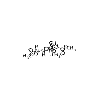 COc1cc(OC)cc(-c2ccc(OC)c(S(=O)(=O)Nc3cccc(NCCNC(=O)c4ccccc4OC)c3)c2)c1